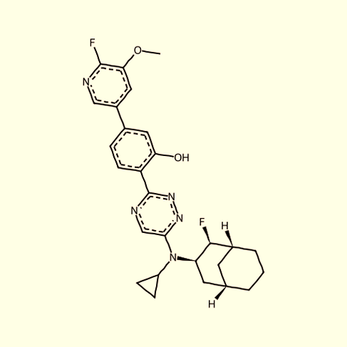 COc1cc(-c2ccc(-c3ncc(N(C4CC4)[C@@H]4C[C@H]5CCC[C@H](C5)[C@@H]4F)nn3)c(O)c2)cnc1F